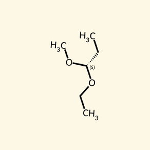 CCO[C@@H](CC)OC